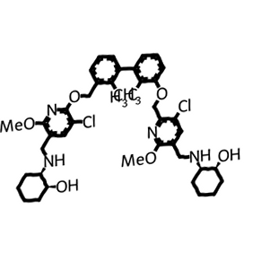 COc1nc(COc2cccc(-c3cccc(COc4nc(OC)c(CN[C@@H]5CCCC[C@@H]5O)cc4Cl)c3C)c2C)c(Cl)cc1CN[C@@H]1CCCC[C@@H]1O